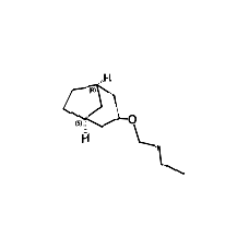 CCCCOC1C[C@H]2CC[C@@H](C1)C2